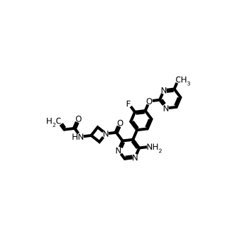 C=CC(=O)NC1CN(C(=O)c2ncnc(N)c2-c2ccc(Oc3nccc(C)n3)c(F)c2)C1